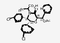 CCCC(C(=O)O)N1C(=O)[C@@H]([C@@H](OC(C)=O)c2ccccn2)O[C@H](c2ccc(Cl)cc2)[C@@H]1c1ccc(Cl)cc1